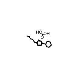 CCCCCc1ccc(C2CCCCC2)cc1.O=C(O)O